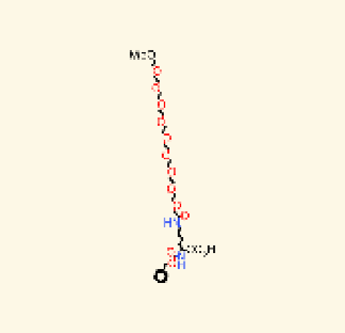 COCCOCCOCCOCCOCCOCCOCCOCCOCCOCC(=O)NCCCC[C@H](NC(=O)OCc1ccccc1)C(=O)O